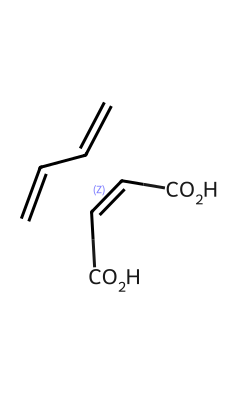 C=CC=C.O=C(O)/C=C\C(=O)O